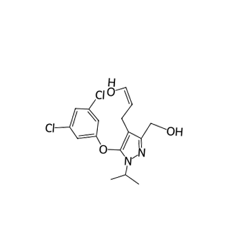 CC(C)n1nc(CO)c(C/C=C\O)c1Oc1cc(Cl)cc(Cl)c1